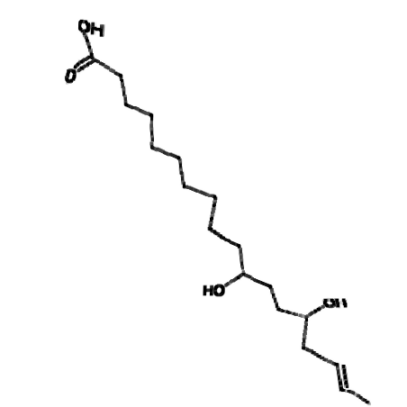 CC=CCC(O)CCC(O)CCCCCCCCCC(=O)O